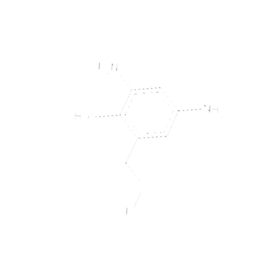 Cc1c(N)cc(N)cc1CSS